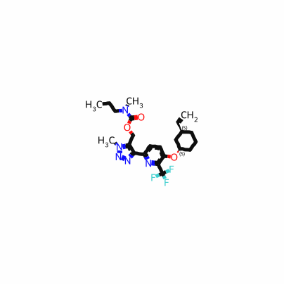 C=C[C@H]1CCC[C@H](Oc2ccc(-c3nnn(C)c3COC(=O)N(C)CCC)nc2C(F)(F)F)C1